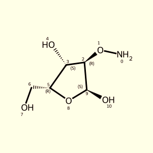 NO[C@@H]1[C@@H](O)[C@@H](CO)O[C@@H]1O